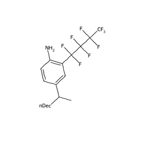 CCCCCCCCCCC(C)c1ccc(N)c(C(F)(F)C(F)(F)C(F)(F)C(F)(F)F)c1